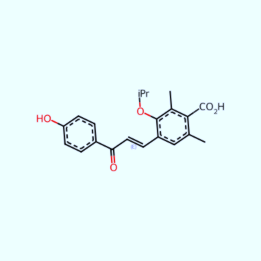 Cc1cc(/C=C/C(=O)c2ccc(O)cc2)c(OC(C)C)c(C)c1C(=O)O